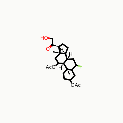 CC(=O)OC1CC[C@@]2(C)C(C1)C(F)C[C@H]1[C@@H]3CC[C@H](C(=O)CO)[C@@]3(C)CC(OC(C)=O)[C@@H]12